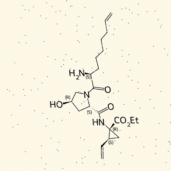 C=CCCCCC[C@H](N)C(=O)N1C[C@H](O)C[C@H]1C(=O)N[C@]1(C(=O)OCC)C[C@H]1C=C